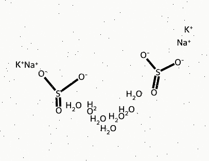 O.O.O.O.O.O.O.O=S([O-])[O-].O=S([O-])[O-].[K+].[K+].[Na+].[Na+]